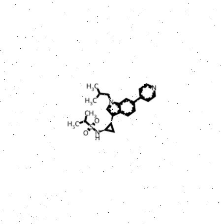 CC(C)Cn1cc([C@H]2C[C@H]2NS(=O)(=O)C(C)C)c2ccc(-c3ccncc3)cc21